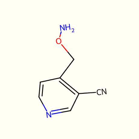 N#Cc1cnccc1CON